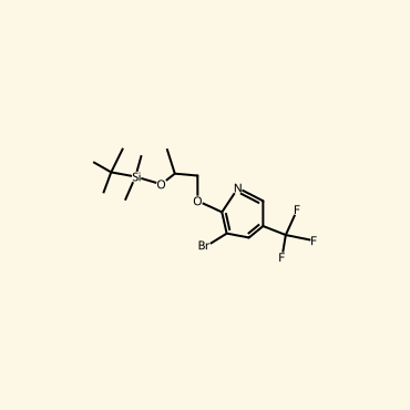 CC(COc1ncc(C(F)(F)F)cc1Br)O[Si](C)(C)C(C)(C)C